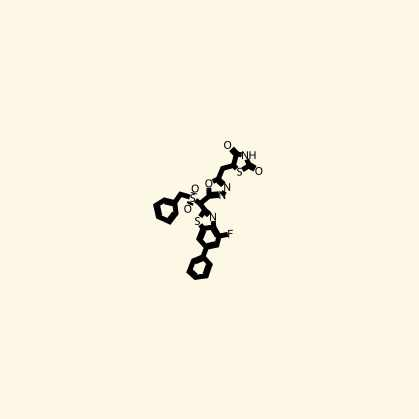 O=C1NC(=O)C(Cc2nnc(C(c3nc4c(F)cc(-c5ccccc5)cc4s3)S(=O)(=O)Cc3ccccc3)o2)S1